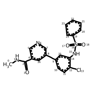 CNC(=O)c1cncc(-c2ccc(Cl)c(NS(=O)(=O)c3ccccc3)c2)c1